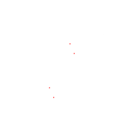 c1ccc(-c2c3ccccc3c(-c3ccccc3-c3cccc4c3oc3ccccc34)c3ccccc23)c(-c2ccc3ccccc3c2)c1